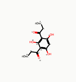 CCCCCCCCCCCC(=O)c1c(O)cc(O)c(C(=O)CCCCCCCCCCC)c1O